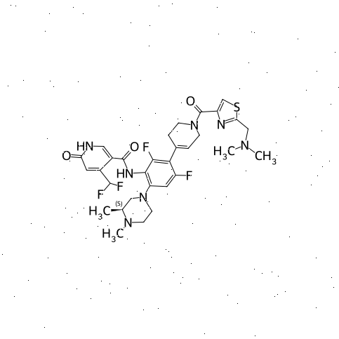 C[C@H]1CN(c2cc(F)c(C3=CCN(C(=O)c4csc(CN(C)C)n4)CC3)c(F)c2NC(=O)c2c[nH]c(=O)cc2C(F)F)CCN1C